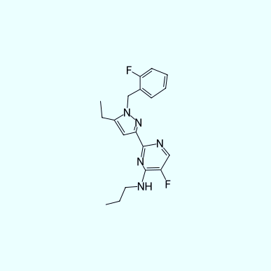 CCCNc1nc(-c2cc(CC)n(Cc3ccccc3F)n2)ncc1F